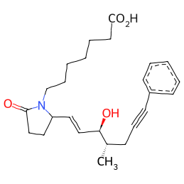 C[C@@H](CC#Cc1ccccc1)[C@H](O)/C=C/C1CCC(=O)N1CCCCCCC(=O)O